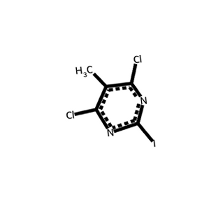 Cc1c(Cl)nc(I)nc1Cl